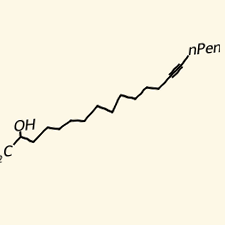 CCCCCC#CCCCCCCCCCCCC(O)C(=O)O